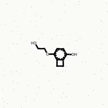 OCCOc1ccc(O)c2c1CC2